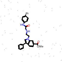 COC(=O)c1ccc2c(-c3ccccc3)cn(CCNCC(=O)Nc3ccc(C(C)C)cc3)c2c1